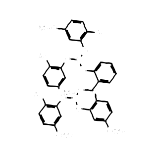 COc1ccc(C(C)=O)c(OP(OCc2ccccc2OP(Oc2cc(OC)ccc2C(C)=O)Oc2cc(OC)ccc2C(C)=O)Oc2cc(OC)ccc2C(C)=O)c1